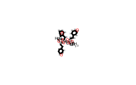 CO[Si](CCC1CCC2OC2C1)(OC)O[Si](C)(CCC1CC2CC(C1)O2)O[Si](CCC1CCC2OC2C1)(OC)OC